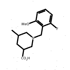 COc1cccc(F)c1CN1CC(C)CC(C(=O)O)C1